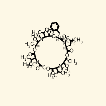 CC(C)C[C@H]1C(=O)O[C@H](C)C(=O)N(C)C(C(C)C)C(=O)OCC(=O)N(C)C(C(C)C)C(=O)O[C@H](C)C(=O)N(C)C(C(C)C)C(=O)O[C@H](Cc2ccccc2)C(=O)N1C